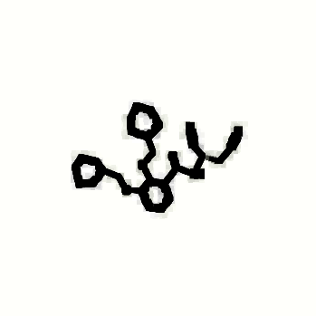 N#CC[C@@H](C#N)NC(=O)c1cccc(OCc2ccccc2)c1OCc1ccccc1